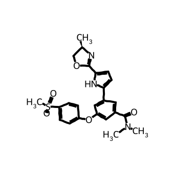 C[C@@H]1COC(c2ccc(-c3cc(Oc4ccc(S(C)(=O)=O)cc4)cc(C(=O)N(C)C)c3)[nH]2)=N1